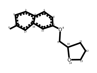 Cc1ccc2ccc(OCC3CCCO3)cc2c1